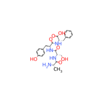 C[C@H](N)C(=O)N[C@@H](CO)C(=O)N[C@@H](Cc1ccc(O)cc1)C(=O)N[C@@H](Cc1ccccc1)C(=O)O